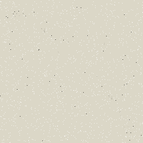 CCSSC(OCCOCC(=O)NCC#CC(C)C)c1ccc(C(=O)NCCNC)cc1